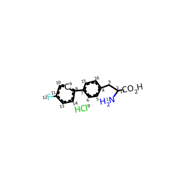 Cl.NC(Cc1ccc(-c2ccc(F)cc2)cc1)C(=O)O